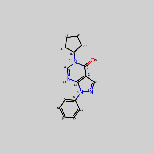 O=c1c2cnn(-c3ccccc3)c2ncn1C1CCCC1